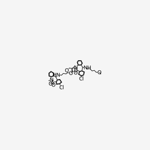 COCCCCCNC1c2ccccc2N(CC2COC(CCCNC3c4ccccc4N(C)S(=O)(=O)c4cc(Cl)ccc43)OC2)S(=O)(=O)c2cc(Cl)ccc21